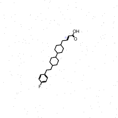 O=C(O)/C=C/CC1CCC(C2CCC(CCc3ccc(F)cc3)CC2)CC1